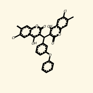 Cc1cc2oc(=O)c(C(c3cccc(Oc4ccccc4)c3)c3c(O)c4cc(Cl)c(C)cc4oc3=O)c(O)c2cc1Cl